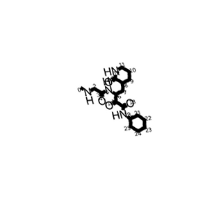 CNCC(=O)NC(CC1CCCNC1=O)C(=O)C(=O)NC1CCCCC1